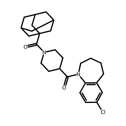 O=C(C1CCN(C(=O)C23CC4CC(CC(C4)C2)C3)CC1)N1CCCCc2cc(Cl)ccc21